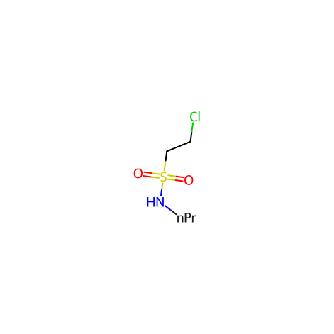 CCCNS(=O)(=O)CCCl